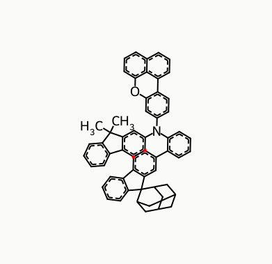 CC1(C)c2ccccc2-c2ccc(N(c3ccc4c(c3)Oc3cccc5cccc-4c35)c3ccccc3-c3ccc4c(c3)C3(c5ccccc5-4)C4CC5CC(C4)CC3C5)cc21